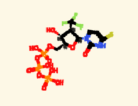 O=c1[nH]c(=S)ccn1[C@@H]1O[C@H](COP(=O)(O)OP(=O)(O)OP(=O)(O)O)[C@H](O)[C@@H]1C(F)(F)F